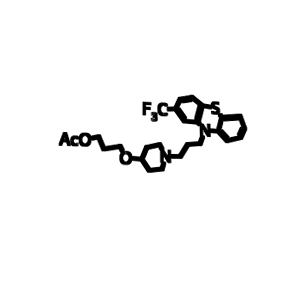 CC(=O)OCCCOC1CCN(CCCN2c3ccccc3Sc3ccc(C(F)(F)F)cc32)CC1